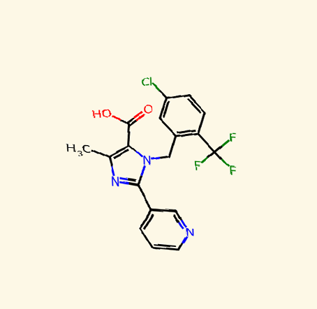 Cc1nc(-c2cccnc2)n(Cc2cc(Cl)ccc2C(F)(F)F)c1C(=O)O